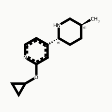 C[C@H]1CC[C@H](c2ccnc(OC3CC3)c2)NC1